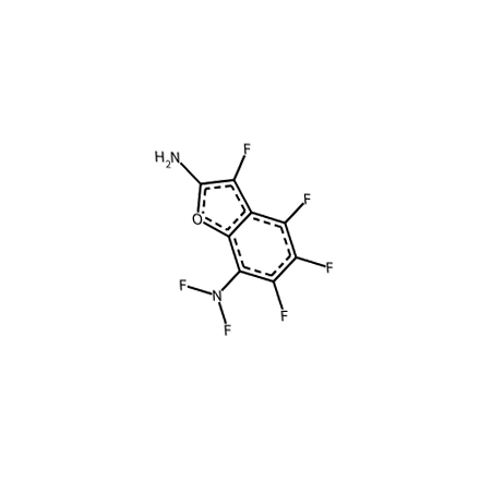 Nc1oc2c(N(F)F)c(F)c(F)c(F)c2c1F